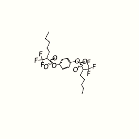 CCCCCC(C(F)(F)F)S(=O)(=O)Oc1ccc(OS(=O)(=O)C(CCCCC)C(F)(F)F)cc1